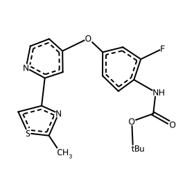 Cc1nc(-c2cc(Oc3ccc(NC(=O)OC(C)(C)C)c(F)c3)ccn2)cs1